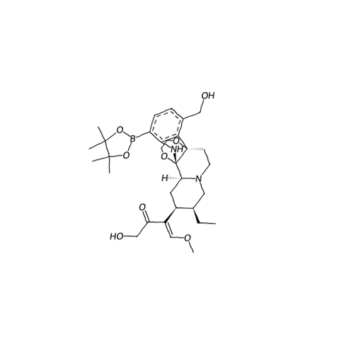 CC[C@@H]1CN2CC[C@@]34OCCO[C@@]3(Nc3c(B5OC(C)(C)C(C)(C)O5)ccc(CO)c34)[C@@H]2C[C@@H]1/C(=C\OC)C(=O)CO